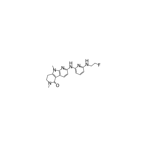 CN1CCc2c(c3ccc(Nc4cccc(NCCF)n4)nc3n2C)C1=O